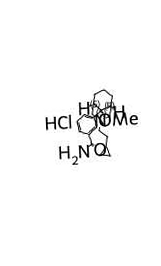 CO[C@]1(c2cccc(C(N)=O)c2)[C@@H]2CCC[C@H]1CN(CCC1CC1)C2.Cl